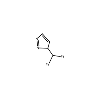 CCC(CC)C1C=CN=N1